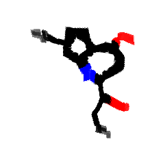 BCC(=O)c1cc(O)c2ccc(C)cc2n1